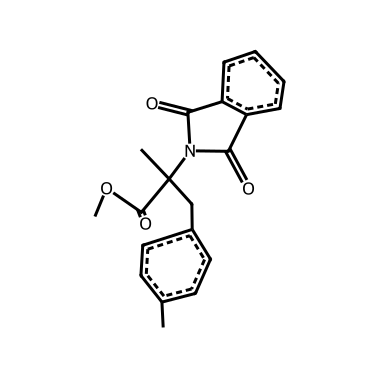 COC(=O)C(C)(Cc1ccc(C)cc1)N1C(=O)c2ccccc2C1=O